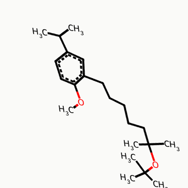 COc1ccc(C(C)C)cc1CCCCCC(C)(C)OC(C)(C)C